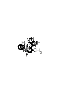 Cc1cc(F)c(N[C@H]2C3CCC(CC3)[C@@H]2C(=O)O)nc1-c1c[nH]c2ncncc12